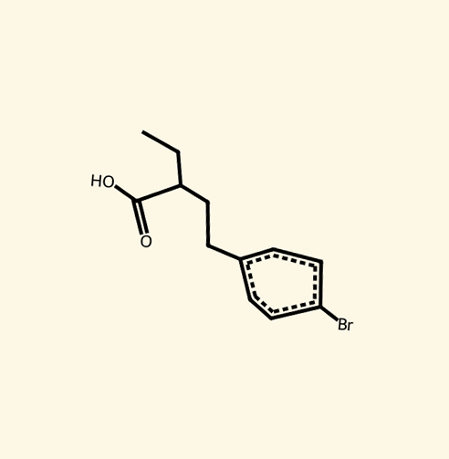 CCC(CCc1ccc(Br)cc1)C(=O)O